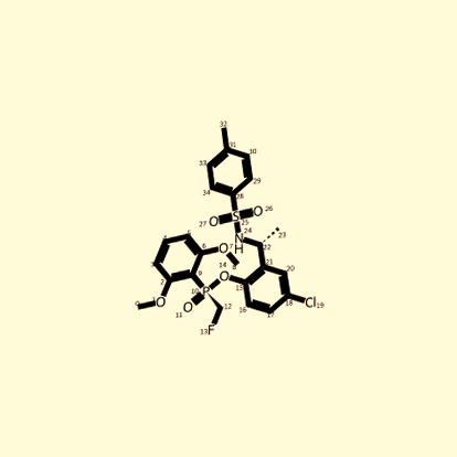 COc1cccc(OC)c1[P@](=O)(CF)Oc1ccc(Cl)cc1[C@@H](C)NS(=O)(=O)c1ccc(C)cc1